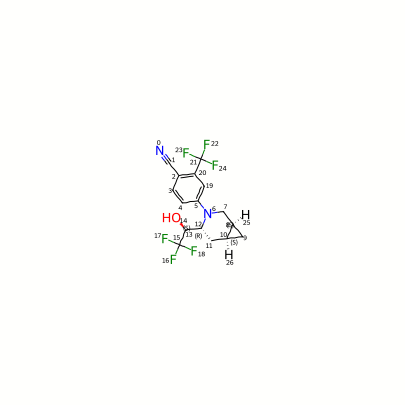 N#Cc1ccc(N2C[C@H]3C[C@H]3C[C@@H]2[C@H](O)C(F)(F)F)cc1C(F)(F)F